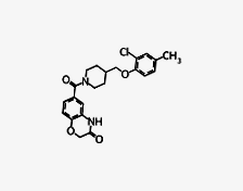 Cc1ccc(OCC2CCN(C(=O)c3ccc4c(c3)NC(=O)CO4)CC2)c(Cl)c1